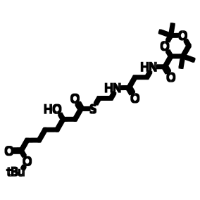 CC(C)(C)OC(=O)CCCCC(O)CC(=O)SCCNC(=O)CCNC(=O)C1OC(C)(C)OCC1(C)C